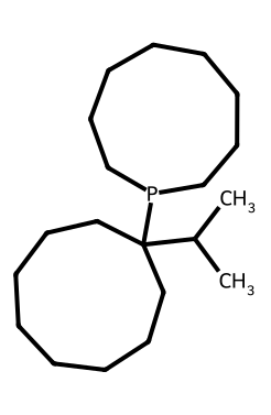 CC(C)C1(P2CCCCCCCC2)CCCCCCCC1